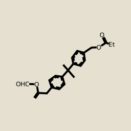 C=C(Cc1ccc(C(C)(C)c2ccc(COC(=O)CC)cc2)cc1)OC=O